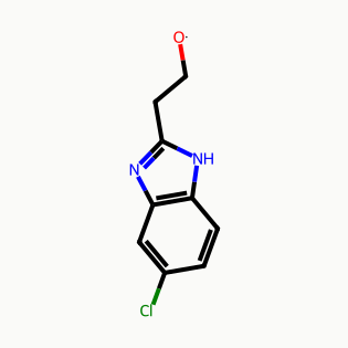 [O]CCc1nc2cc(Cl)ccc2[nH]1